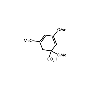 COC1=CC(OC)(C(=O)O)CC(OC)=C1